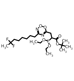 CCOP(OCC)C(CC1=NC(CCCCCCC(C)(F)F)=NOO1)C(=O)OC(C)(C)C